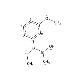 CCC(c1cccc(OC)c1)C(C)O